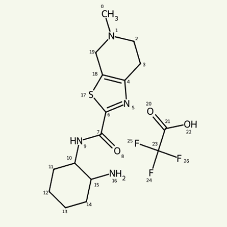 CN1CCc2nc(C(=O)NC3CCCCC3N)sc2C1.O=C(O)C(F)(F)F